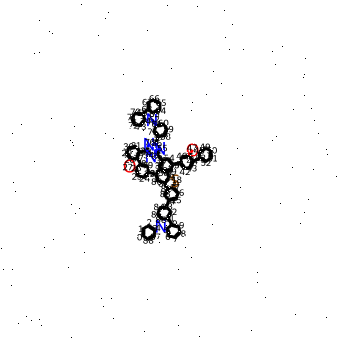 c1ccc(-n2c3ccccc3c3cc(-c4ccc5sc6ccc(-c7ccc8oc9cccc(-c%10nc(-c%11cccc(-c%12ccc%13c(c%12)oc%12ccccc%12%13)c%11)nc(-c%11cccc(-n%12c%13ccccc%13c%13ccccc%13%12)c%11)n%10)c9c8c7)cc6c5c4)ccc32)cc1